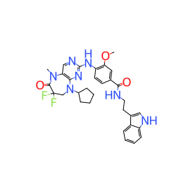 COc1cc(C(=O)NCCc2c[nH]c3ccccc23)ccc1Nc1ncc2c(n1)N(C1CCCC1)CC(F)(F)C(=O)N2C